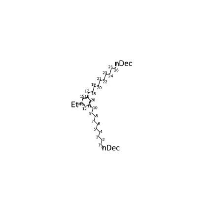 CCCCCCCCCCCCCCCCCCCCc1cc(CC)cc(CCCCCCCCCCCCCCCCCCCC)c1